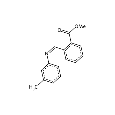 COC(=O)c1ccccc1/C=N\c1cccc(C)c1